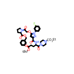 CCOC(=O)N1CCN(C(=O)C(CCC(=O)OC(C)(C)C)NC(=O)c2cc(OCC(=O)N3CCCC3C(=O)OCc3ccccc3)n(-c3cccc(F)c3)n2)CC1